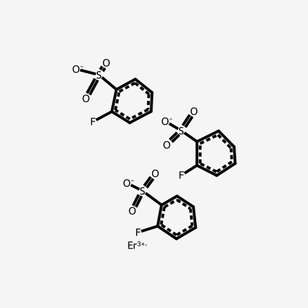 O=S(=O)([O-])c1ccccc1F.O=S(=O)([O-])c1ccccc1F.O=S(=O)([O-])c1ccccc1F.[Er+3]